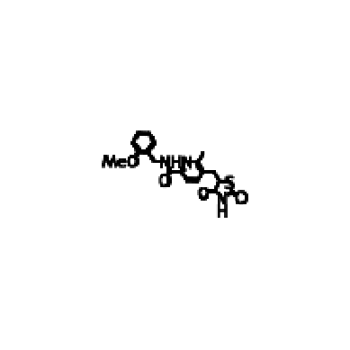 COc1ccccc1CNC(=O)c1ccc(CC2SC(=O)NC2=O)c(C)n1